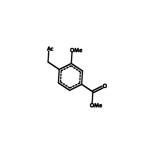 COC(=O)c1ccc(CC(C)=O)c(OC)c1